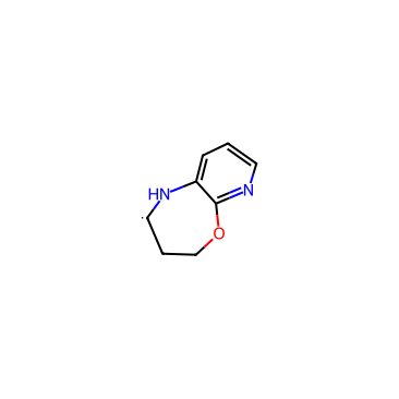 [CH]1CCOc2ncccc2N1